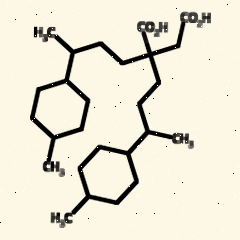 CC1CCC(C(C)CCC(CCC(C)C2CCC(C)CC2)(CC(=O)O)C(=O)O)CC1